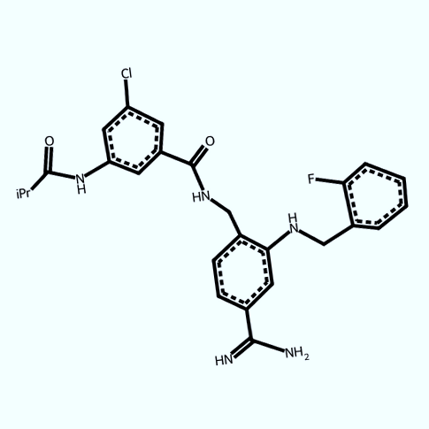 CC(C)C(=O)Nc1cc(Cl)cc(C(=O)NCc2ccc(C(=N)N)cc2NCc2ccccc2F)c1